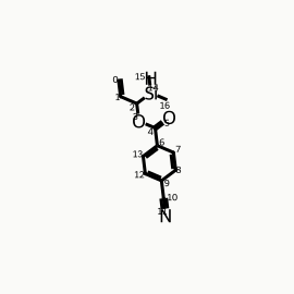 C=CC(OC(=O)c1ccc(C#N)cc1)[SiH](C)C